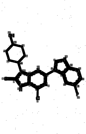 O=c1[nH]c2c(Cl)nc(-n3cnc4ccc(F)cc43)nc2n1C1CCC(O)CC1